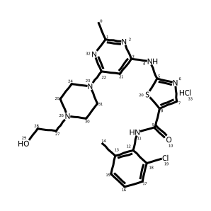 Cc1nc(Nc2ncc(C(=O)Nc3c(C)cccc3Cl)s2)cc(N2CCN(CCO)CC2)n1.Cl